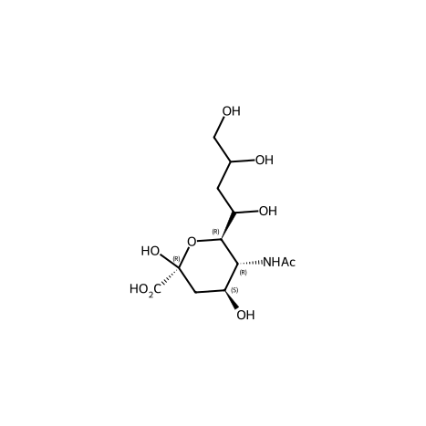 CC(=O)N[C@@H]1[C@@H](O)C[C@](O)(C(=O)O)O[C@H]1C(O)CC(O)CO